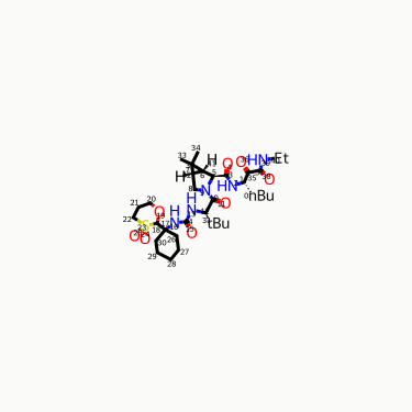 CCCC[C@H](NC(=O)[C@@H]1[C@@H]2[C@H](CN1C(=O)[C@@H](NC(=O)NC1(C3OCCCS3(=O)=O)CCCCC1)C(C)(C)C)C2(C)C)C(=O)C(=O)NCC